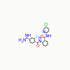 N=C(N)c1ccc(C(=O)Nc2ccccc2C(=O)Nc2ccc(Cl)cn2)c(F)c1